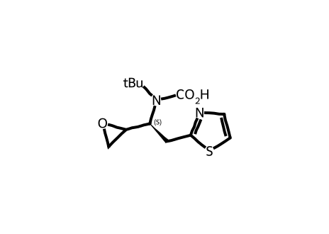 CC(C)(C)N(C(=O)O)[C@@H](Cc1nccs1)C1CO1